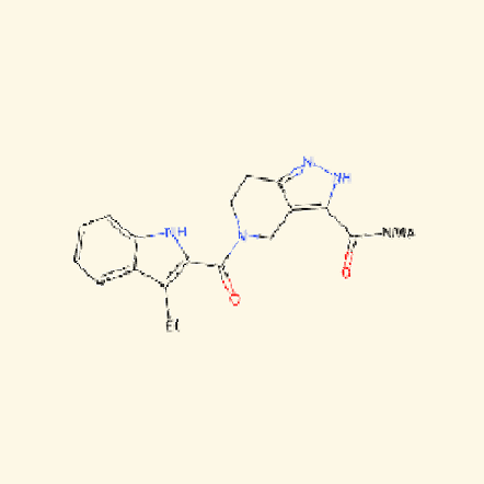 CCc1c(C(=O)N2CCc3n[nH]c(C(=O)NC)c3C2)[nH]c2ccccc12